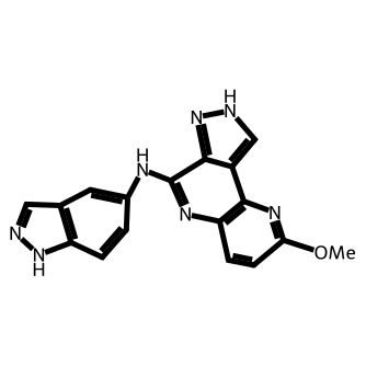 COc1ccc2nc(Nc3ccc4[nH]ncc4c3)c3n[nH]cc3c2n1